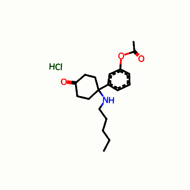 CCCCCNC1(c2cccc(OC(C)=O)c2)CCC(=O)CC1.Cl